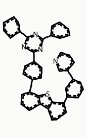 c1ccc(-c2nc(-c3ccccc3)nc(-c3ccc(-c4cccc5c4sc4c(-c6cccc(-c7cccnc7)c6)cccc45)cc3)n2)cc1